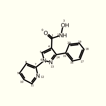 O=C(NO)c1cn(-c2ccccn2)nc1-c1ccccc1